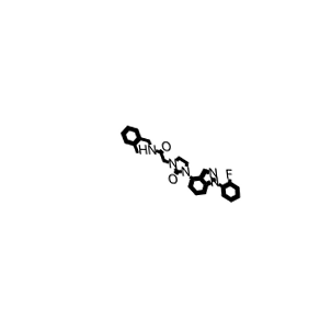 Cc1ccccc1CNC(=O)CN1CCN(c2cccc3c2cnn3-c2ccccc2F)C1=O